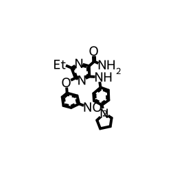 CCc1nc(C(N)=O)c(Nc2ccc(N3CCCC3)cc2)nc1Oc1cccc([N+](=O)[O-])c1